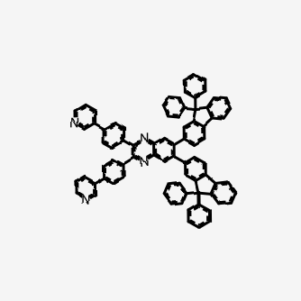 c1ccc(C2(c3ccccc3)c3ccccc3-c3ccc(-c4cc5nc(-c6ccc(-c7cccnc7)cc6)c(-c6ccc(-c7cccnc7)cc6)nc5cc4-c4ccc5c(c4)C(c4ccccc4)(c4ccccc4)c4ccccc4-5)cc32)cc1